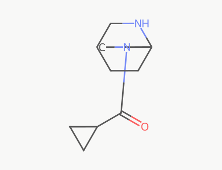 O=C(C1CC1)N1CC2CCC(C1)NC2